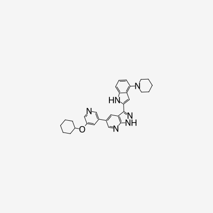 c1cc(N2CCCCC2)c2cc(-c3n[nH]c4ncc(-c5cncc(OC6CCCCC6)c5)cc34)[nH]c2c1